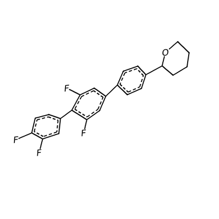 Fc1ccc(-c2c(F)cc(-c3ccc(C4CCCCO4)cc3)cc2F)cc1F